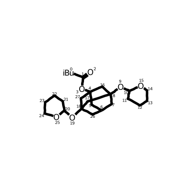 CCC(C)C(=O)OC12CC3CC(OC4CCCCO4)(C1)CC(OC1CCCCO1)(C3)C2